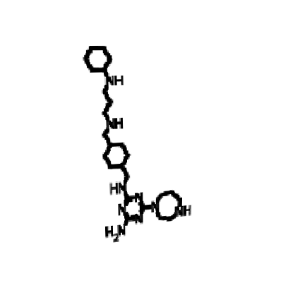 Nc1nc(NCC2CCC(CNCCCNC3CCCCC3)CC2)nc(N2CCCNCC2)n1